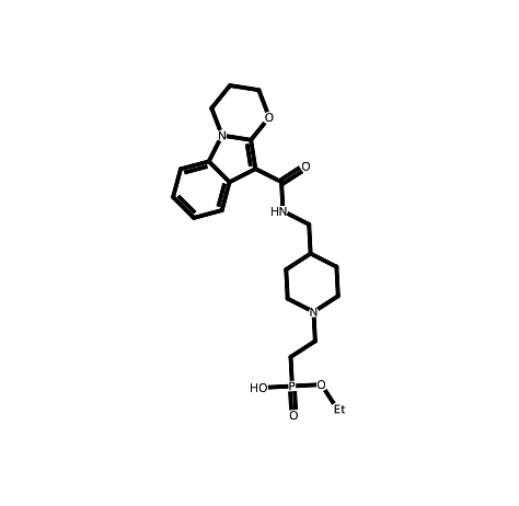 CCOP(=O)(O)CCN1CCC(CNC(=O)c2c3n(c4ccccc24)CCCO3)CC1